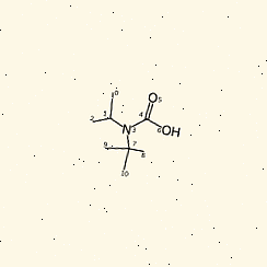 CC(C)N(C(=O)O)C(C)(C)C